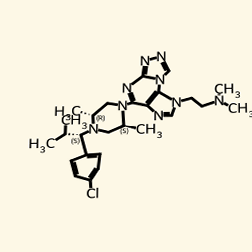 CC(C)[C@@H](c1ccc(Cl)cc1)N1C[C@H](C)N(c2nc3nncn3c3c2ncn3CCN(C)C)C[C@H]1C